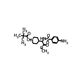 COC(=O)C(NS(=O)(=O)c1ccc(N)cc1)C1CCN(OC(=O)C(C)(C)C)CC1